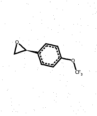 FC(F)(F)Oc1ccc([C@H]2CO2)cc1